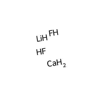 F.F.[CaH2].[LiH]